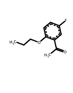 CCCOc1ccc(F)cc1C(C)=O